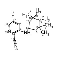 CN1C(C)(C)CC(Nc2cc(F)cnc2C#N)CC1(C)C